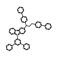 c1ccc(-c2ccc(CCC(c3ccc(-c4ccccc4)cc3)c3ccc4c(c3)c3ccccc3n4-c3cc(-c4ccccc4)cc(-c4ccccc4)c3)cc2)cc1